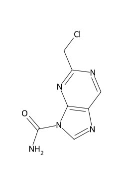 NC(=O)n1cnc2cnc(CCl)nc21